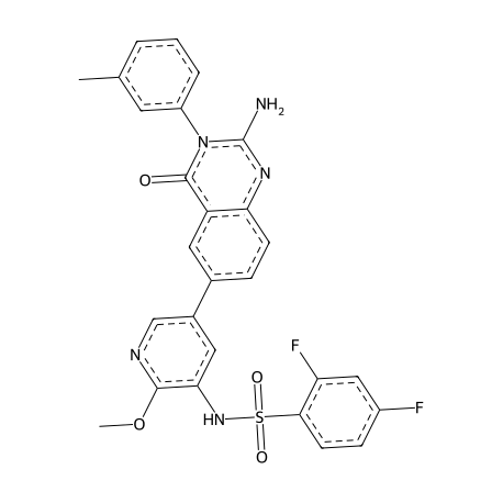 COc1ncc(-c2ccc3nc(N)n(-c4cccc(C)c4)c(=O)c3c2)cc1NS(=O)(=O)c1ccc(F)cc1F